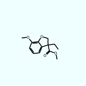 CCC1(C(=O)OC)COc2c(OC)cccc21